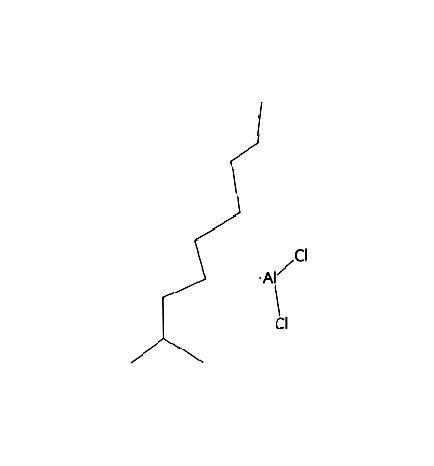 CCCCCCCC(C)C.[Cl][Al][Cl]